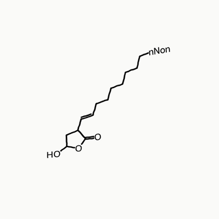 CCCCCCCCCCCCCCCC/C=C/C1CC(O)OC1=O